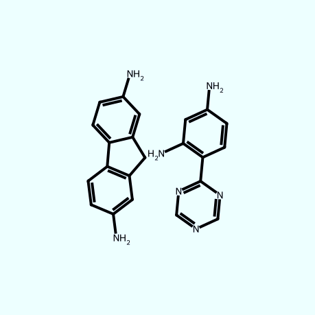 Nc1ccc(-c2ncncn2)c(N)c1.Nc1ccc2c(c1)Cc1cc(N)ccc1-2